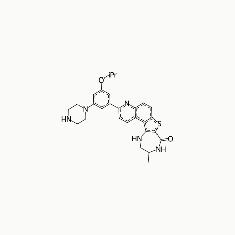 CC1CNc2c(sc3ccc4nc(-c5cc(OC(C)C)cc(N6CCNCC6)c5)ccc4c23)C(=O)N1